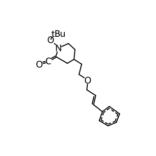 CC(C)(C)ON1CCC(CCOCC=Cc2ccccc2)CC1=C=O